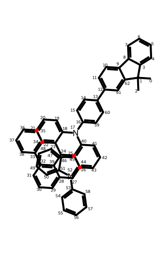 CC1(C)c2ccccc2-c2ccc(-c3ccc(N(c4ccccc4-c4cccc5cccc(-c6ccccc6)c45)c4cccc5c4c4ccccc4n5-c4ccccc4)cc3)cc21